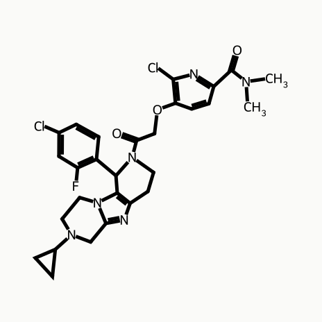 CN(C)C(=O)c1ccc(OCC(=O)N2CCc3nc4n(c3C2c2ccc(Cl)cc2F)CCN(C2CC2)C4)c(Cl)n1